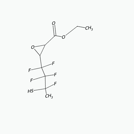 CCOC(=O)C1OC1C(F)(F)C(F)(F)C(C)(F)S